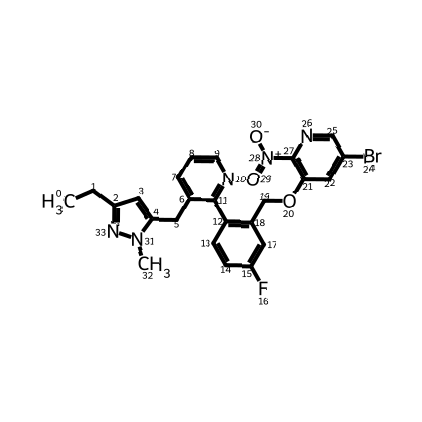 CCc1cc(Cc2cccnc2-c2ccc(F)cc2COc2cc(Br)cnc2[N+](=O)[O-])n(C)n1